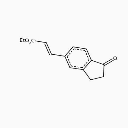 CCOC(=O)C=Cc1ccc2c(c1)CCC2=O